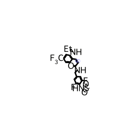 CCNc1cc(C(F)(F)F)ccc1/C=C\C(=O)NCc1cc(F)c(NS(C)(=O)=O)c(F)c1